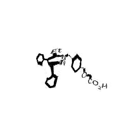 CCc1c(-c2ccccc2)c(-c2ccccc2)nn1C[C@H]1CC[C@@H](COCC(=O)O)CC1